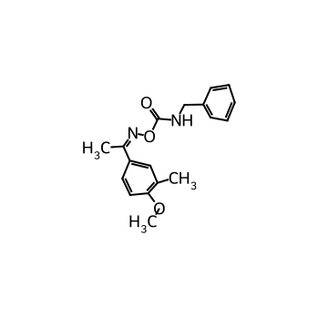 COc1ccc(/C(C)=N\OC(=O)NCc2ccccc2)cc1C